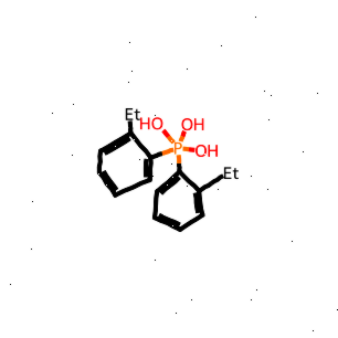 CCc1ccccc1P(O)(O)(O)c1ccccc1CC